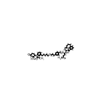 Cn1c(=O)n(C2CCC(=O)NC2=O)c2cccc(CCCCCOCCCc3ccc(COC[C@H](CCC(N)=O)NC(=O)[C@@H]4Cc5cccc6c5N4C(=O)CCC6)cc3)c21